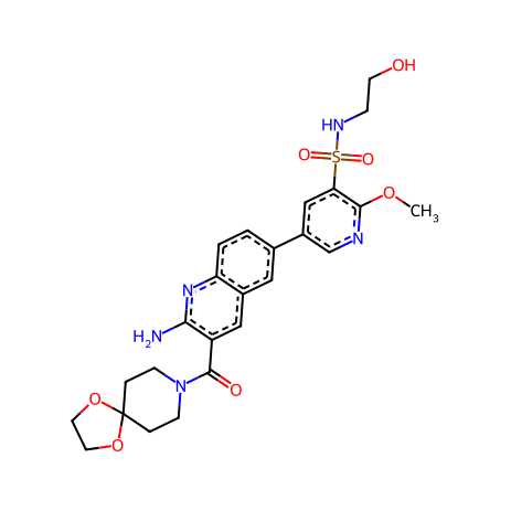 COc1ncc(-c2ccc3nc(N)c(C(=O)N4CCC5(CC4)OCCO5)cc3c2)cc1S(=O)(=O)NCCO